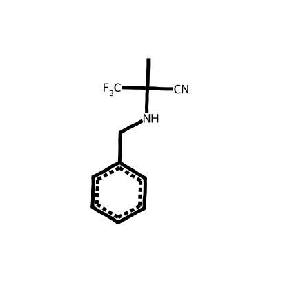 CC(C#N)(NCc1ccccc1)C(F)(F)F